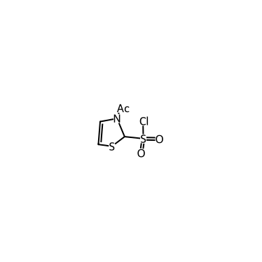 CC(=O)N1C=CSC1S(=O)(=O)Cl